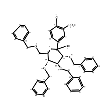 O=C(O)c1cc(C2(O)O[C@H](COCc3ccccc3)[C@@H](OCc3ccccc3)[C@H](OCc3ccccc3)[C@H]2OCc2ccccc2)ccc1Cl